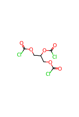 O=C(Cl)OCC(COC(=O)Cl)OC(=O)Cl